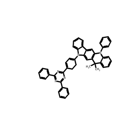 CC1(C)c2ccccc2N(c2ccccc2)c2cc3c4ccccc4n(C4=CC=C(c5nc(-c6ccccc6)nc(-c6ccccc6)n5)CC4)c3cc21